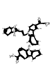 O=C(O)c1ccc2[nH]c3c(c2c1)CCCC3.O=C(O)c1ccc2c(c1)c1c(n2CCc2nc3ccccc3[nH]2)CCCC1